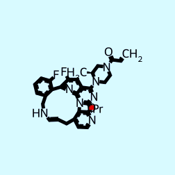 C=CC(=O)N1CCN(c2nc(=O)n3c4nc(c(F)cc24)-c2c(F)cccc2CN/C=C/Cc2ccnc(C(C)C)c2-3)[C@@H](C)C1